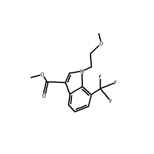 COCCn1cc(C(=O)OC)c2cccc(C(F)(F)F)c21